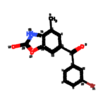 Cc1cc(C(=O)c2cccc(Br)c2)cc2oc(=O)[nH]c12